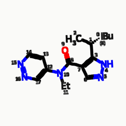 CC[C@@H](C)C(C)c1[nH]ncc1C(=O)N(CC)c1ccnnc1